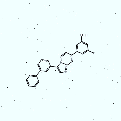 O=C(O)c1cc(F)cc(-c2ccn3c(-c4ccnc(-c5ccccc5)c4)cnc3c2)c1